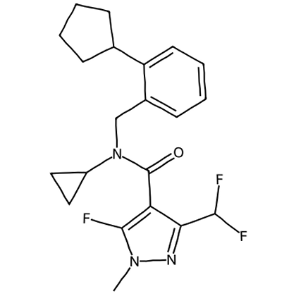 Cn1nc(C(F)F)c(C(=O)N(Cc2ccccc2C2CCCC2)C2CC2)c1F